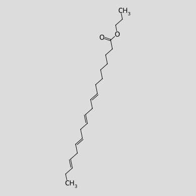 CCC=CCC=CCC=CCC=CCCCCCCC(=O)OCCC